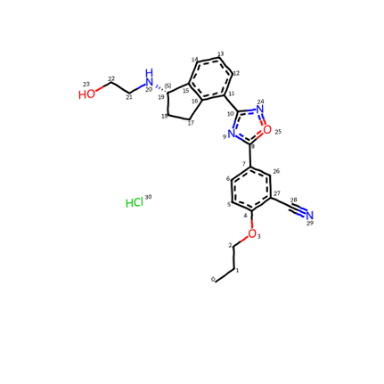 CCCOc1ccc(-c2nc(-c3cccc4c3CC[C@@H]4NCCO)no2)cc1C#N.Cl